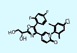 Cc1cc(Cl)cc(C)c1-n1cc(-c2nc([C@@H](O)CO)oc2-c2ccc(F)cc2F)ccc1=O